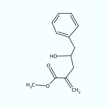 C=C(CC(O)Cc1ccccc1)C(=O)OC